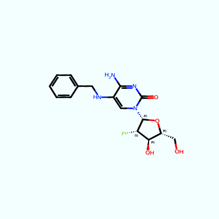 Nc1nc(=O)n([C@@H]2O[C@H](CO)[C@@H](O)[C@@H]2F)cc1NCc1ccccc1